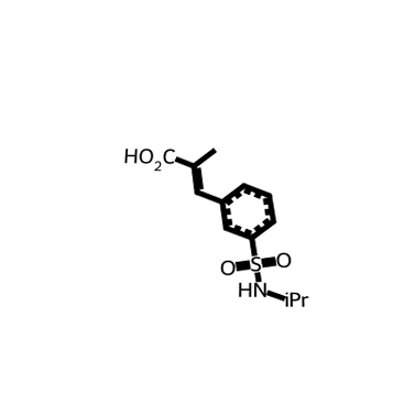 C/C(=C\c1cccc(S(=O)(=O)NC(C)C)c1)C(=O)O